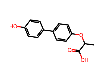 CC(Oc1ccc(-c2ccc(O)cc2)cc1)C(=O)O